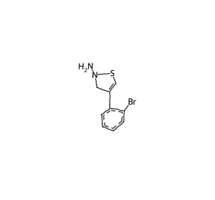 NN1CC(c2ccccc2Br)=CS1